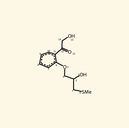 CSCC(O)COc1ccccc1C(=O)CO